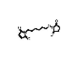 O=C1C=CC(=O)N1CCCCCCON1C(=O)CCC1=O